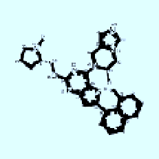 Cc1cccc2cccc(-c3cc4nc(OC[C@@H]5CCCN5C)nc(N5Cc6cncn6C[C@H]5C)c4s3)c12